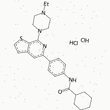 CCN1CCN(c2nc(-c3ccc(NC(=O)C4CCCCC4)cc3)cc3ccsc23)CC1.Cl.Cl